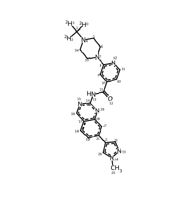 [2H]C([2H])([2H])N1CCN(c2cc(C(=O)Nc3ncc4ccc(-c5cnn(C)c5)cc4n3)ccn2)CC1